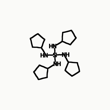 C1CCC(N[Si](NC2CCCC2)(NC2CCCC2)NC2CCCC2)C1